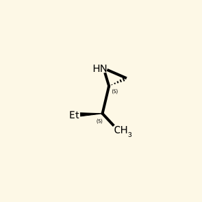 CC[C@H](C)[C@H]1CN1